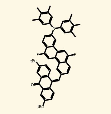 Cc1cc(N(c2cc(C)c(C)c(C)c2)c2ccc3c(F)cc4c5cc(C=C6c7ccc(C(C)(C)C)cc7C(=O)c7cc(C(C)(C)C)ccc76)ccc5c(F)cc4c3c2)cc(C)c1C